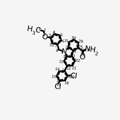 CCOc1cccc(Cn2c3cc(-c4ccc(Cl)cc4Cl)c[c]c3c3c(C(N)=O)cccc32)c1